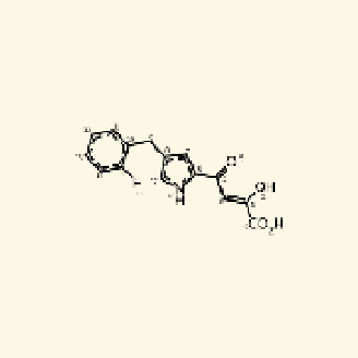 O=C(O)C(O)=CC(=O)c1cc(Cc2ccccc2F)c[nH]1